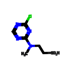 CN(CCS(=O)(=O)O)c1n[c]nc(Cl)n1